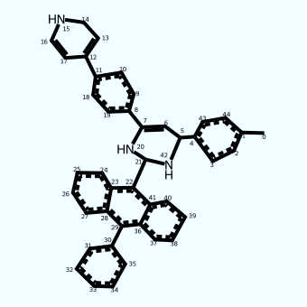 Cc1ccc(C2C=C(c3ccc(C4=CCNC=C4)cc3)NC(c3c4ccccc4c(-c4ccccc4)c4ccccc34)N2)cc1